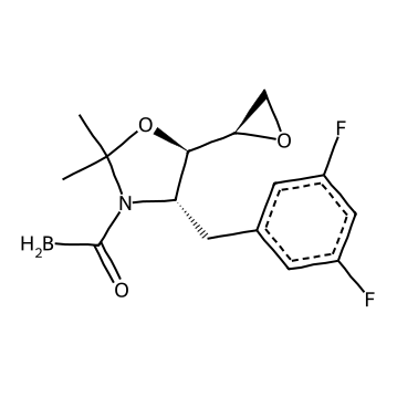 BC(=O)N1[C@@H](Cc2cc(F)cc(F)c2)[C@H]([C@H]2CO2)OC1(C)C